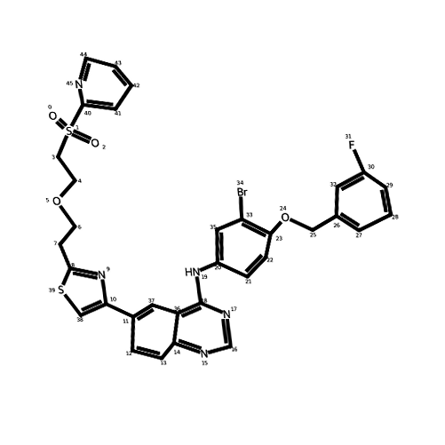 O=S(=O)(CCOCCc1nc(-c2ccc3ncnc(Nc4ccc(OCc5cccc(F)c5)c(Br)c4)c3c2)cs1)c1ccccn1